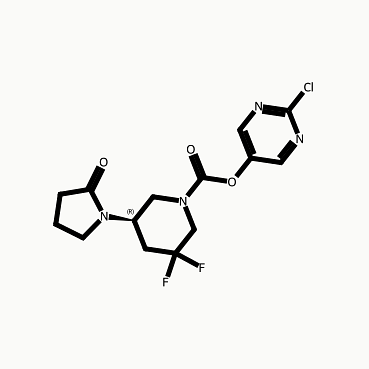 O=C(Oc1cnc(Cl)nc1)N1C[C@H](N2CCCC2=O)CC(F)(F)C1